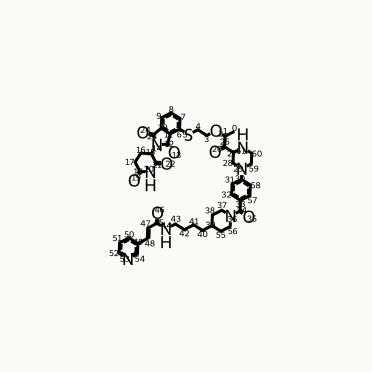 CC(OCCSc1cccc2c1C(=O)N(C1CCC(=O)NC1=O)C2=O)C(=O)C1CN(c2ccc(C(=O)N3CCC(CCCCNC(=O)/C=C/c4cccnc4)CC3)cc2)CCN1